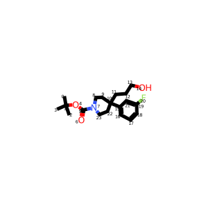 CC(C)(C)OC(=O)N1CCC(CCCO)(c2cccc(F)c2)CC1